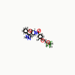 Cc1cc(C(=O)N2CCC3(CC2)Oc2ccccc2-c2c3cnn2C)ccc1OCCOC(F)(F)F